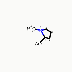 CC(=O)C1CCCN1C